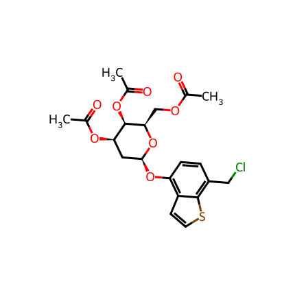 CC(=O)OC[C@H]1O[C@@H](Oc2ccc(CCl)c3sccc23)C[C@@H](OC(C)=O)[C@H]1OC(C)=O